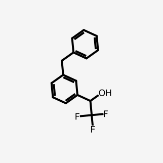 OC(c1cccc(Cc2ccccc2)c1)C(F)(F)F